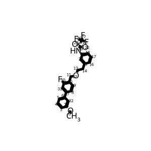 COc1cccc(-c2ccc(COCCc3cccc(NS(=O)(=O)C(F)(F)F)c3)c(F)c2)c1